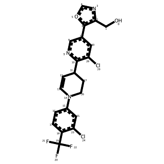 OCc1ncoc1-c1cnc(C2C=CN(c3ccc(C(F)(F)F)c(Cl)c3)CC2)c(Cl)c1